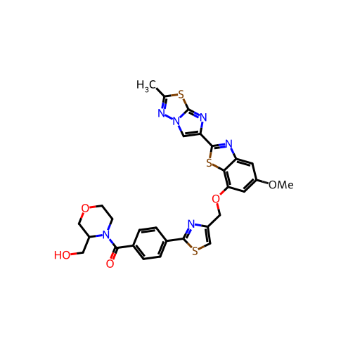 COc1cc(OCc2csc(-c3ccc(C(=O)N4CCOCC4CO)cc3)n2)c2sc(-c3cn4nc(C)sc4n3)nc2c1